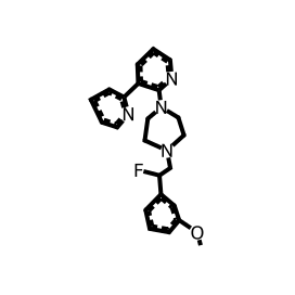 COc1cccc(C(F)CN2CCN(c3ncccc3-c3ccccn3)CC2)c1